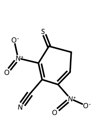 N#CC1=C([N+](=O)[O-])C(=S)CC=C1[N+](=O)[O-]